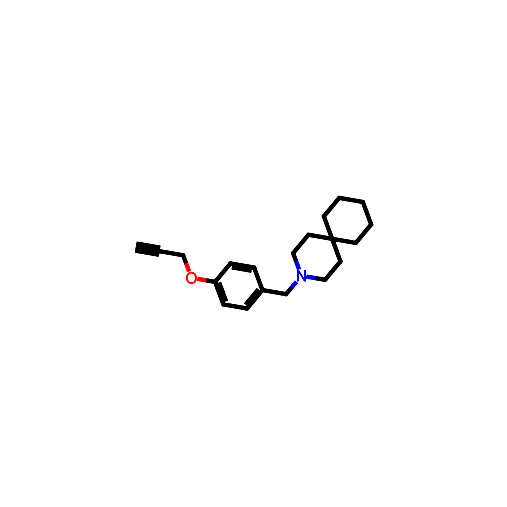 C#CCOc1ccc(CN2CCC3(CCCCC3)CC2)cc1